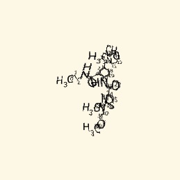 CCCNC(=O)c1cc(CN2CCOCC2(C)C)ccc1NC(=O)c1csc(N(C)CCOC)n1